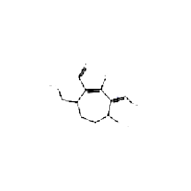 CCC1CCC(C)/C(=C\O)C(Cl)=C1C=O